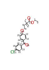 CCOC(=O)C(C)(C)CCOc1ccc(C(=O)c2ccc(Cl)cc2)cc1